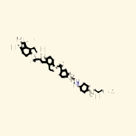 CC(=O)OCCCN(C)c1ccc(/N=N/c2nc3ccc(C(=O)N4CCc5c4ccc4[nH]c(C(=O)N6CCc7c6ccc6[nH]c(C(=O)O)cc76)cc54)cc3s2)cc1